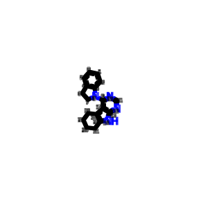 c1ccc2c(c1)CCN2c1ncnc2[nH]c3c(c12)CCCC3